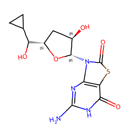 Nc1nc2c(sc(=O)n2[C@@H]2O[C@H](C(O)C3CC3)C[C@H]2O)c(=O)[nH]1